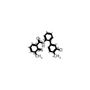 Cc1ccc(-c2ccccc2NC(=O)C2=CC=CC(C)C2=S)cc1Cl